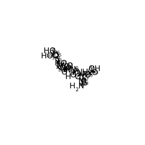 CC(C)(ON=C(C(=O)N[C@H]1CN(C(=O)NS(=O)(=O)N2CCN(N=Cc3ccc(O)c(O)c3)C2=O)C1=O)c1csc(N)n1)C(=O)O